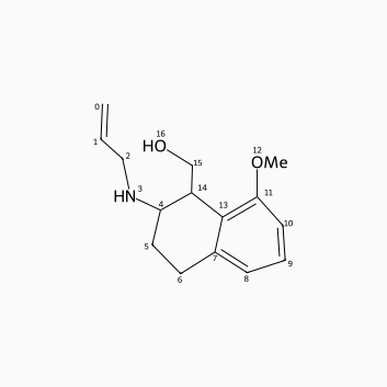 C=CCNC1CCc2cccc(OC)c2C1CO